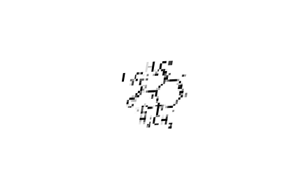 C=C1C=CCC(C)(C)C1C(C)=O